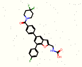 O=C(O)NCc1cc2cc(-c3ccc(C(=O)N4CCC(F)(F)CC4)cc3)cc(-c3ccc(F)cc3)c2o1